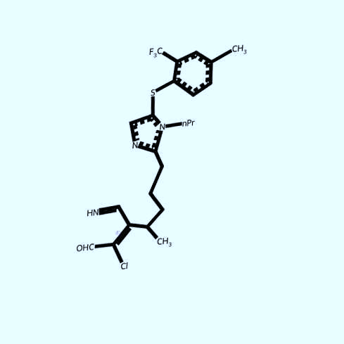 CCCn1c(Sc2ccc(C)cc2C(F)(F)F)cnc1CCCC(C)/C(C=N)=C(\Cl)C=O